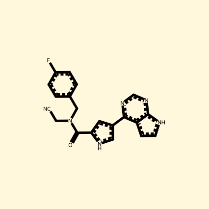 N#CCN(Cc1ccc(F)cc1)C(=O)c1cc(-c2ncnc3[nH]ccc23)c[nH]1